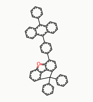 c1ccc(-c2c3ccccc3c(-c3ccc(-c4ccc5c6c4oc4cccc(c46)C5(c4ccccc4)c4ccccc4)cc3)c3ccccc23)cc1